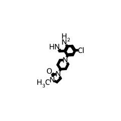 CN1CCN(C2CCN(c3cc(Cl)cc(N)c3C=N)CC2)C1=O